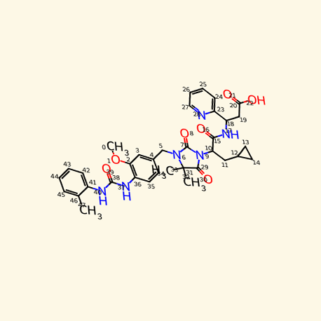 COc1cc(CN2C(=O)N(C(CC3CC3)C(=O)NC(CC(=O)O)c3ccccn3)C(=O)C2(C)C)ccc1NC(=O)Nc1ccccc1C